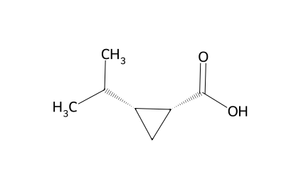 CC(C)[C@H]1C[C@H]1C(=O)O